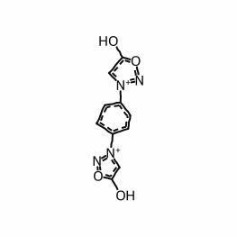 Oc1c[n+](-c2ccc(-[n+]3cc(O)on3)cc2)no1